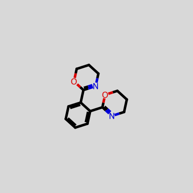 c1ccc(C2=NCCCO2)c(C2=NCCCO2)c1